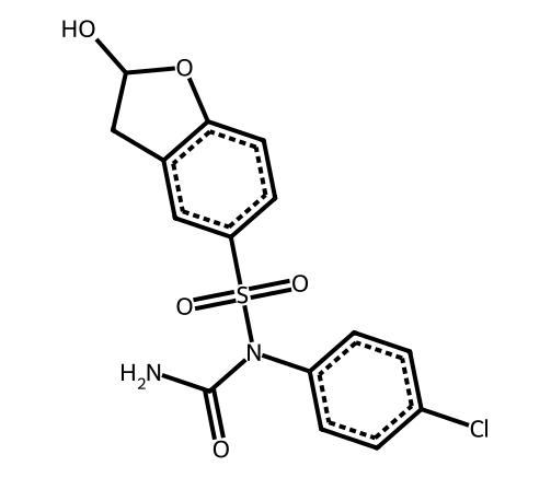 NC(=O)N(c1ccc(Cl)cc1)S(=O)(=O)c1ccc2c(c1)CC(O)O2